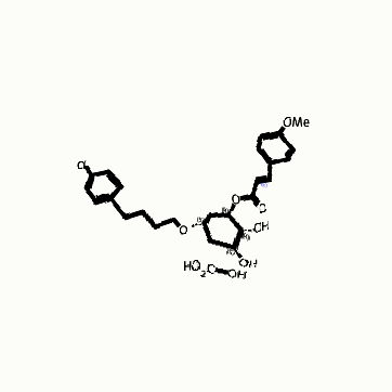 COc1ccc(/C=C/C(=O)O[C@@H]2C[C@@H](OCCCCc3ccc(Cl)cc3)C[C@H](O)[C@H]2O)cc1.O=C(O)O